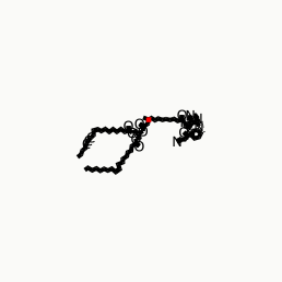 CCCCCCCC/C=C\CCCCCCCC(=O)OCC(COC(=O)CCCCCCC/C=C\CCCCCCCC)OC(=O)CC(C)CCCCCCCCC(=O)n1ccc2c(N(C)[C@H]3CN(C(=O)CC#N)CC[C@H]3C)ncnc21